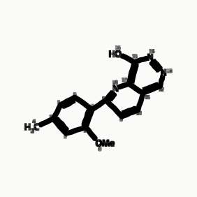 COc1cc(C)ccc1-c1ccc2cnnc(O)c2n1